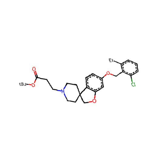 CCc1cccc(Cl)c1COc1ccc2c(c1)OCC21CCN(CCC(=O)OC(C)(C)C)CC1